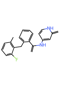 C=C1C=C(NC(=C)c2ccccc2Cc2c(C)cccc2F)C=CN1